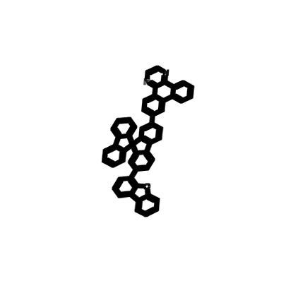 c1ccc2c(c1)-c1ccccc1C21c2cc(-c3ccc4c(c3)c3ccccc3c3nccnc43)ccc2-c2ccc(-c3cccc4c3oc3ccccc34)cc21